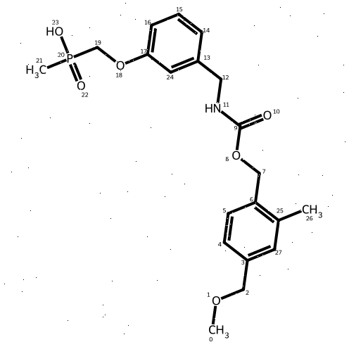 COCc1ccc(COC(=O)NCc2cccc(OCP(C)(=O)O)c2)c(C)c1